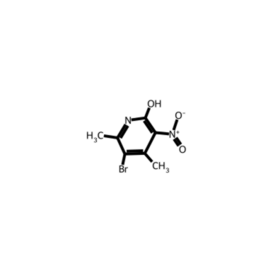 Cc1nc(O)c([N+](=O)[O-])c(C)c1Br